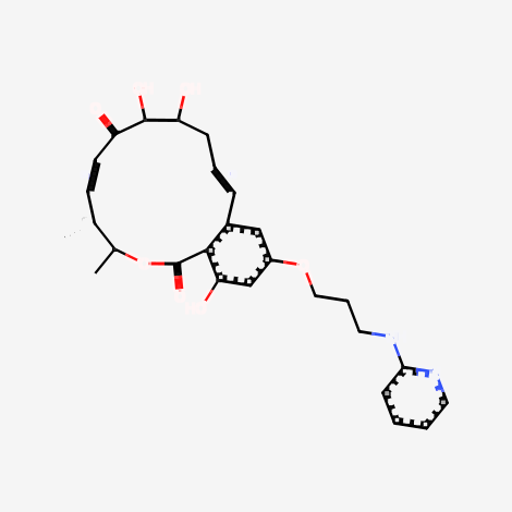 CC1OC(=O)c2c(O)cc(OCCCNc3ccccn3)cc2/C=C/CC(O)C(O)C(=O)/C=C\[C@H]1C